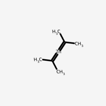 C[C](C)=[Zn]=[C](C)C